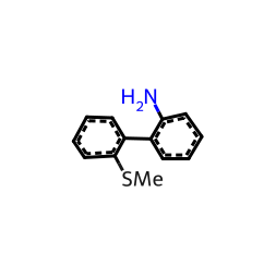 CSc1ccccc1-c1ccccc1N